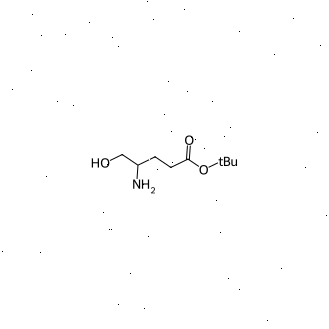 CC(C)(C)OC(=O)CCC(N)CO